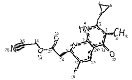 Cc1c(C2CC2)[nH]c2nc(CC(=O)OCC#N)c(F)cc2c1=O